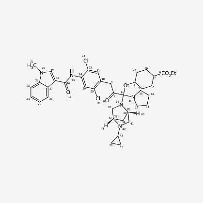 CCOC(=O)C1CCC(OC(C(=O)Cc2cc(Cl)c(NC(=O)c3cn(C)c4ccccc34)cc2Cl)(N2CCCC2)N2C[C@@H]3C[C@H]2CN3C2CC2)CC1